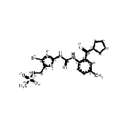 Cc1ccc(NC(=O)Nc2nc(CNS(C)(=O)=O)c(Br)s2)c(C(=O)C2CCCC2)c1